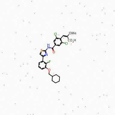 CO/C(=C/c1c(Cl)cc(C(=O)Nc2nc(-c3cccc(OCC4CCCCC4)c3F)cs2)cc1Cl)C(=O)O